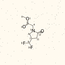 COC(=O)CN1CC(C(F)F)CC1=O